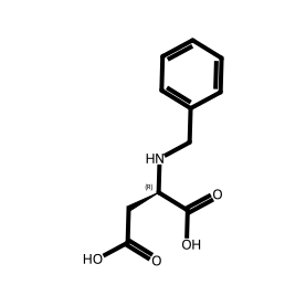 O=C(O)C[C@@H](NCc1ccccc1)C(=O)O